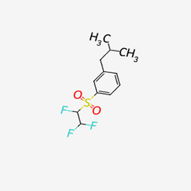 CC(C)Cc1cccc(S(=O)(=O)C(F)C(F)F)c1